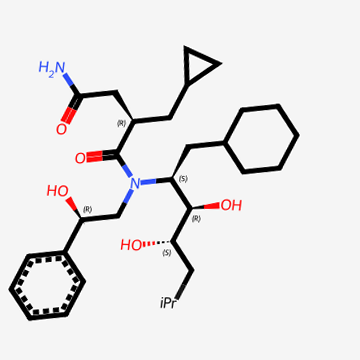 CC(C)C[C@H](O)[C@H](O)[C@H](CC1CCCCC1)N(C[C@H](O)c1ccccc1)C(=O)[C@@H](CC(N)=O)CC1CC1